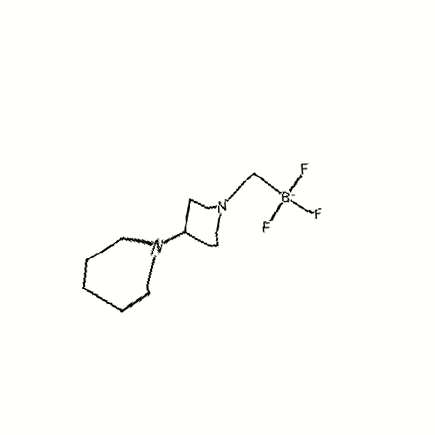 F[B-](F)(F)CN1CC(N2CCCCC2)C1